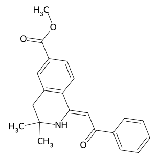 COC(=O)c1ccc2c(c1)CC(C)(C)N/C2=C\C(=O)c1ccccc1